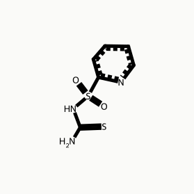 NC(=S)NS(=O)(=O)c1ccccn1